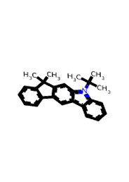 CC1(C)c2ccccc2-c2cc3c4ccccc4n(C(C)(C)C)c3cc21